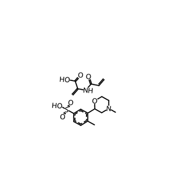 C=CC(=O)NC(=C)C(=O)O.Cc1ccc(S(=O)(=O)O)cc1C1CN(C)CCO1